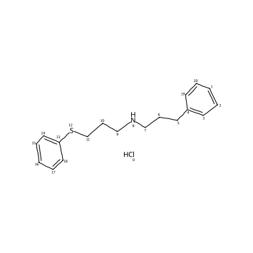 Cl.c1ccc(CCCNCCCSc2ccccc2)cc1